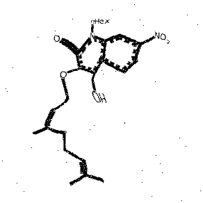 CCCCCCn1c(=O)c(OCC=C(C)CCC=C(C)C)c(O)c2ccc([N+](=O)[O-])cc21